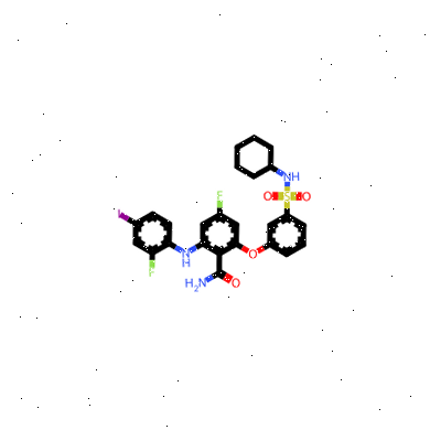 NC(=O)c1c(Nc2ccc(I)cc2F)cc(F)cc1Oc1cccc(S(=O)(=O)NC2CCCCC2)c1